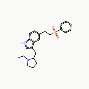 O=S(=O)(CCc1ccc2[nH]cc(CC3CCCN3CI)c2c1)c1ccccc1